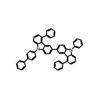 c1ccc(-c2ccc(-n3c4ccc(-c5ccc6c(c5)c5c(-c7ccccc7)cccc5n6-c5ccccc5)cc4c4c(-c5ccccc5)cccc43)cc2)cc1